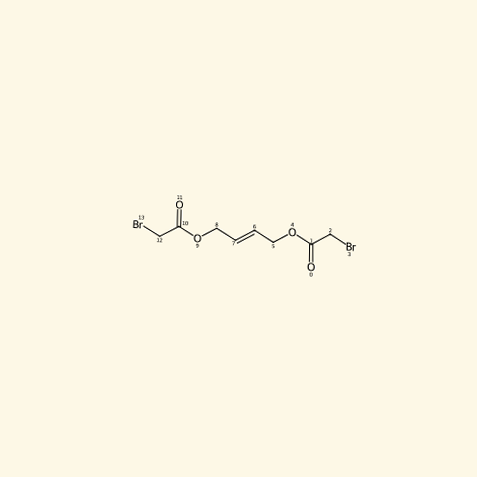 O=C(CBr)OCC=CCOC(=O)CBr